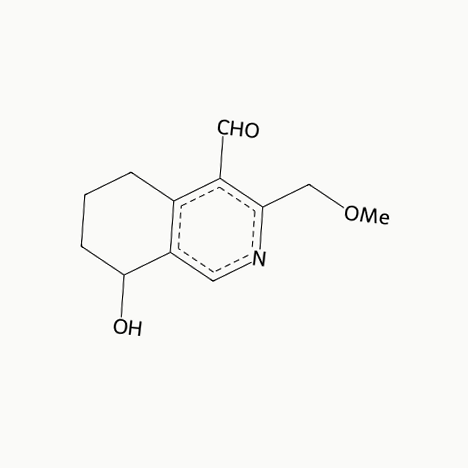 COCc1ncc2c(c1C=O)CCCC2O